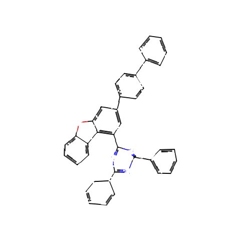 C1=CCC(c2nc(-c3ccccc3)nc(-c3cc(-c4ccc(-c5ccccc5)cc4)cc4oc5ccccc5c34)n2)C=C1